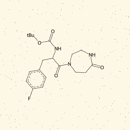 CC(C)(C)OC(=O)NC(Cc1ccc(F)cc1)C(=O)N1CCNC(=O)CC1